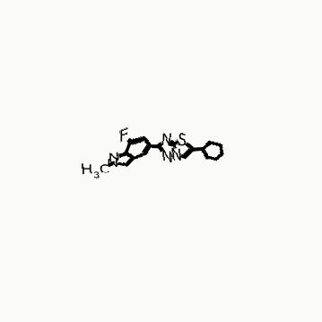 Cn1cc2cc(-c3nc4sc(C5CCCCC5)cn4n3)cc(F)c2n1